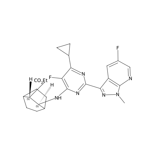 CCOC(=O)[C@H]1C2CCC(CC2)[C@@H]1Nc1nc(-c2nn(C)c3ncc(F)cc23)nc(C2CC2)c1F